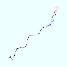 CCCC[CH]CN=C=O